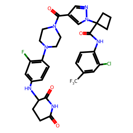 O=C1CCC(Nc2ccc(N3CCN(C(=O)c4cnn(C5(C(=O)Nc6ccc(C(F)(F)F)cc6Cl)CCC5)c4)CC3)c(F)c2)C(=O)N1